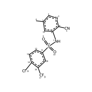 Cc1cnc(C#N)c(NS(=O)(=O)c2ccc(Cl)c(C(F)(F)F)c2)c1